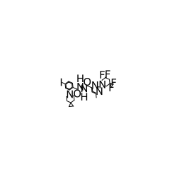 Cc1cc(C(=O)NNC(=O)c2ccc(I)cc2N2CCC3(CC2)CC3)nc(N2CC(F)(F)CC(F)(F)C2)n1